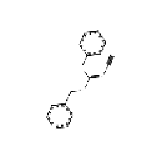 N#C/N=C(/NCc1ccncc1)Oc1ccccc1